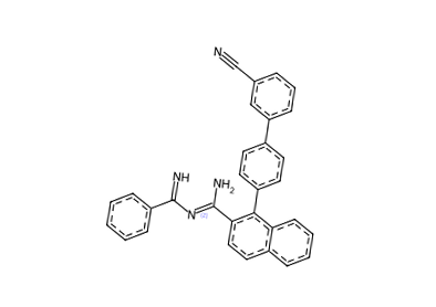 N#Cc1cccc(-c2ccc(-c3c(/C(N)=N/C(=N)c4ccccc4)ccc4ccccc34)cc2)c1